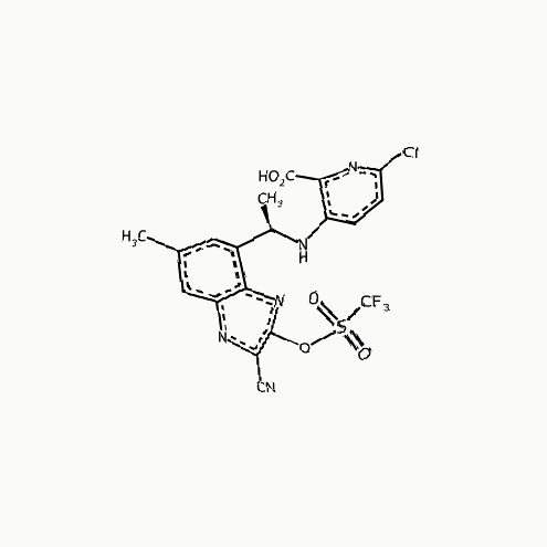 Cc1cc([C@@H](C)Nc2ccc(Cl)nc2C(=O)O)c2nc(OS(=O)(=O)C(F)(F)F)c(C#N)nc2c1